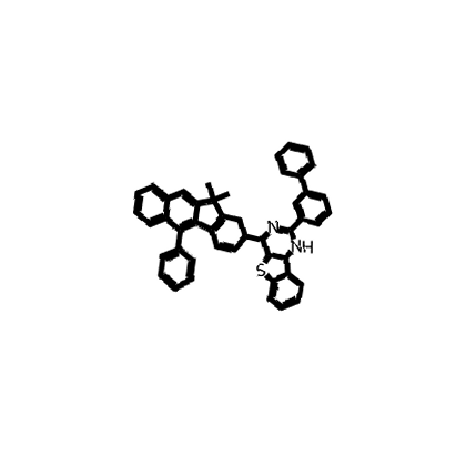 CC1(C)C2=C(C=CC(C3N=C(c4cccc(-c5ccccc5)c4)NC4c5ccccc5SC43)C2)c2c1cc1ccccc1c2-c1ccccc1